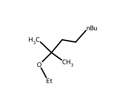 CCCCCCC(C)(C)OCC